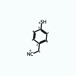 N#CCc1ccc(S)cc1